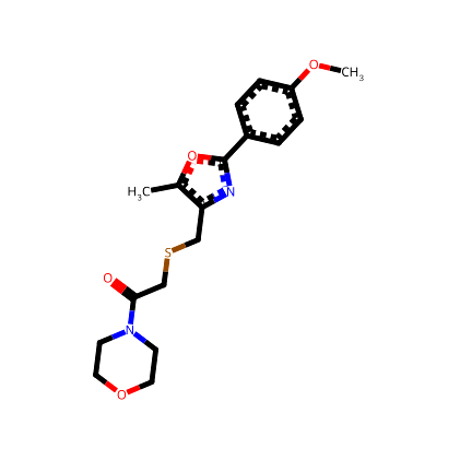 COc1ccc(-c2nc(CSCC(=O)N3CCOCC3)c(C)o2)cc1